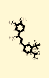 Cc1ccc(C(C)/C=C/c2ccc(C(=O)O)c(C(F)(F)F)c2)cc1C